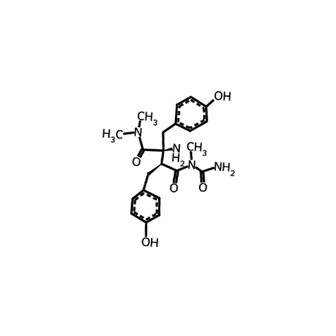 CN(C)C(=O)[C@](N)(Cc1ccc(O)cc1)[C@H](Cc1ccc(O)cc1)C(=O)N(C)C(N)=O